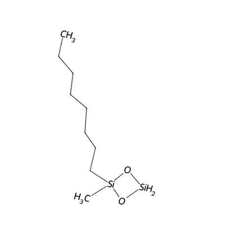 CCCCCCCC[Si]1(C)O[SiH2]O1